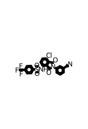 N#Cc1cccc(N2C(=O)c3c(Cl)ccc(NS(=O)(=O)c4ccc(C(F)(F)F)cc4)c3C2=O)c1